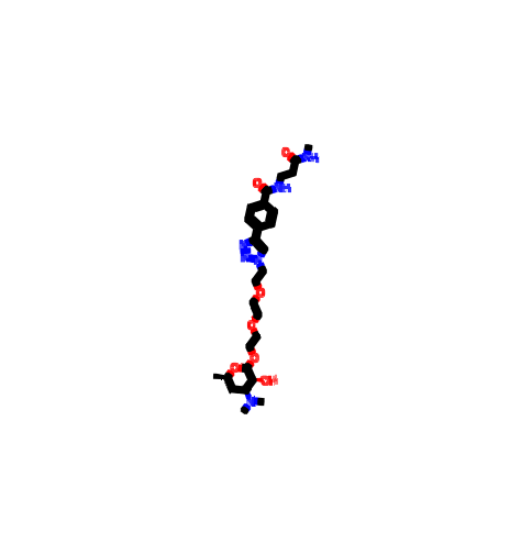 CNC(=O)CCNC(=O)c1ccc(-c2cn(CCOCCOCCOC3O[C@H](C)C[C@H](N(C)C)[C@H]3O)nn2)cc1